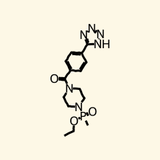 CCOP(C)(=O)N1CCN(C(=O)c2ccc(-c3nnn[nH]3)cc2)CC1